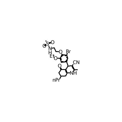 CCCC1CC(=O)C2=C(C1)NC(C)=C(C#N)C2c1cc(Br)c(OCCNS(C)(=O)=O)c(OCC)c1